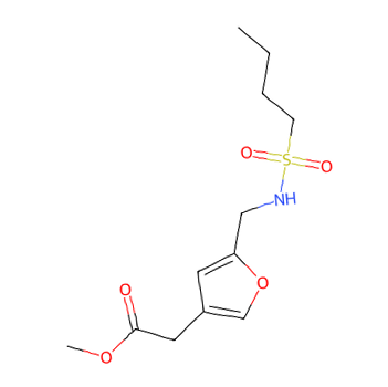 CCCCS(=O)(=O)NCc1cc(CC(=O)OC)co1